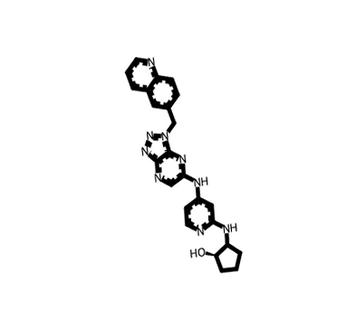 O[C@@H]1CCCC1Nc1cc(Nc2cnc3nnn(Cc4ccc5ncccc5c4)c3n2)ccn1